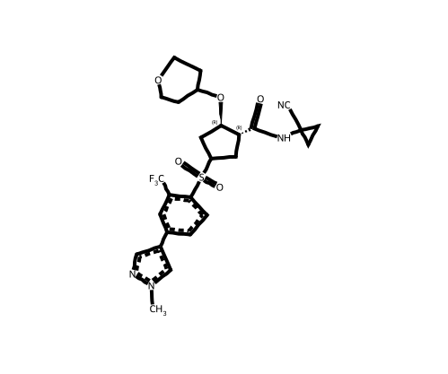 Cn1cc(-c2ccc(S(=O)(=O)C3C[C@@H](OC4CCOCC4)[C@H](C(=O)NC4(C#N)CC4)C3)c(C(F)(F)F)c2)cn1